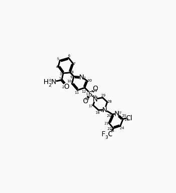 NC(=O)c1ccccc1-c1ccc(S(=O)(=O)N2CCN(c3cc(C(F)(F)F)cc(Cl)n3)CC2)cn1